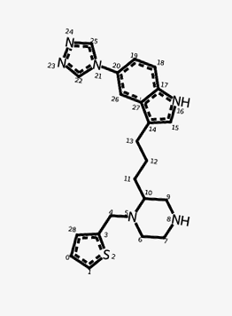 c1csc(CN2CCNCC2CCCc2c[nH]c3ccc(-n4cnnc4)cc23)c1